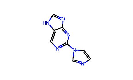 c1cn(-c2ncc3[nH]cnc3n2)cn1